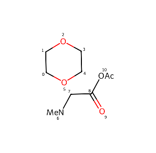 C1COCCO1.CNCC(=O)OC(C)=O